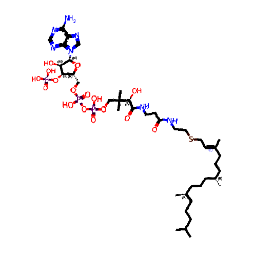 C/C(=C\CSCCNC(=O)CCNC(=O)[C@H](O)C(C)(C)COP(=O)(O)OP(=O)(O)OC[C@H]1O[C@@H](n2cnc3c(N)ncnc32)[C@H](O)[C@@H]1OP(=O)(O)O)CCC[C@H](C)CCC[C@H](C)CCCC(C)C